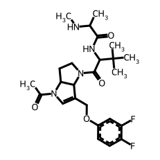 CNC(C)C(=O)NC(C(=O)N1CCC2C1C(COc1ccc(F)c(F)c1)=CN2C(C)=O)C(C)(C)C